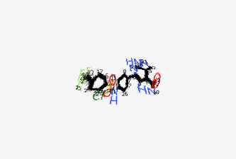 CNC(=O)c1cc(-c2ccc(NS(=O)(=O)c3ccc(C(F)(F)F)cc3Cl)cc2)nc2[nH]ncc12